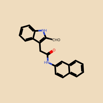 O=Cc1[nH]c2ccccc2c1CC(=O)Nc1ccc2ccccc2c1